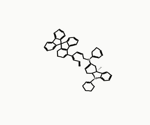 C=C/C=C(\C=C/CN(C1=CC=CCC1)C1=CCC2N(C3=CCCCC3)c3ccccc3[C@]2(C)C1)C1=CCCC2=C1c1ccccc1C21c2ccccc2-c2ccccc21